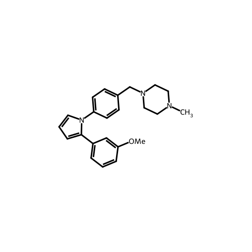 COc1cccc(-c2cccn2-c2ccc(CN3CCN(C)CC3)cc2)c1